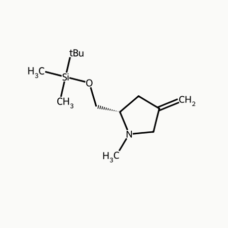 C=C1C[C@@H](CO[Si](C)(C)C(C)(C)C)N(C)C1